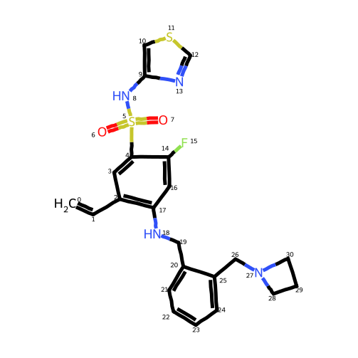 C=Cc1cc(S(=O)(=O)Nc2cscn2)c(F)cc1NCc1ccccc1CN1CCC1